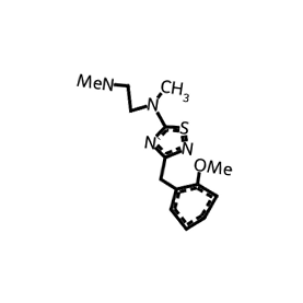 CNCCN(C)c1nc(Cc2ccccc2OC)ns1